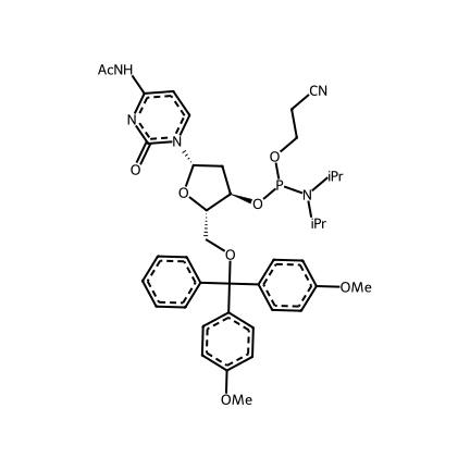 COc1ccc(C(OC[C@@H]2O[C@H](n3ccc(NC(C)=O)nc3=O)C[C@H]2OP(OCCC#N)N(C(C)C)C(C)C)(c2ccccc2)c2ccc(OC)cc2)cc1